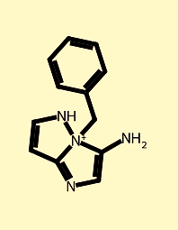 NC1=CN=C2C=CN[N+]12Cc1ccccc1